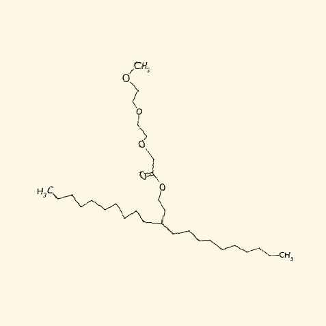 CCCCCCCCCCC(CCCCCCCCCC)CCOC(=O)COCCOCCOC